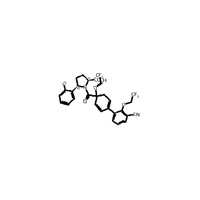 N#Cc1cccc(C2=CCC(OCC(F)(F)F)(C(=O)N3[C@@H](c4ccccc4Cl)CC[C@H]3C(=O)O)C=C2)c1OCC(F)(F)F